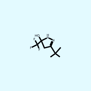 CC(C)(C)C1=NNC(O)(C(F)(F)F)C1